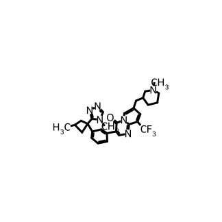 CC1CC(c2cccc(-c3cnc4c(C(F)(F)F)cc(CC5CCCN(C)C5)cn4c3=O)c2)(c2nncn2C)C1